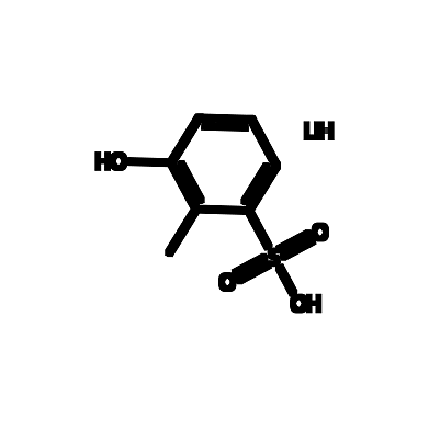 Cc1c(O)cccc1S(=O)(=O)O.[LiH]